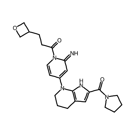 N=c1cc(N2CCCc3cc(C(=O)N4CCCC4)[nH]c32)ccn1C(=O)CCC1COC1